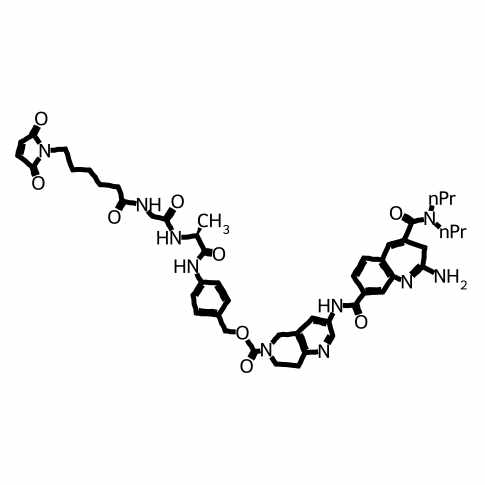 CCCN(CCC)C(=O)C1=Cc2ccc(C(=O)Nc3cnc4c(c3)CN(C(=O)OCc3ccc(NC(=O)[C@H](C)NC(=O)CNC(=O)CCCCCN5C(=O)C=CC5=O)cc3)CC4)cc2N=C(N)C1